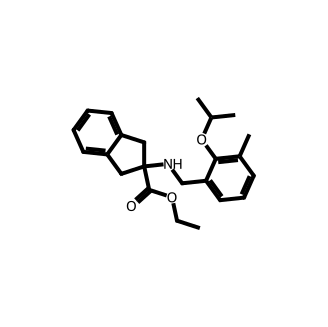 CCOC(=O)C1(NCc2cccc(C)c2OC(C)C)Cc2ccccc2C1